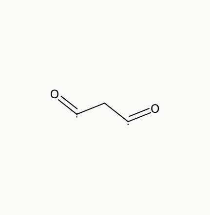 O=[C]C[C]=O